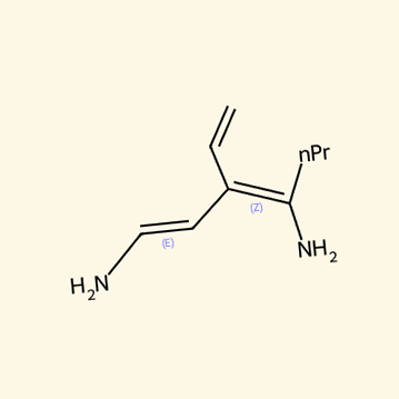 C=CC(/C=C/N)=C(/N)CCC